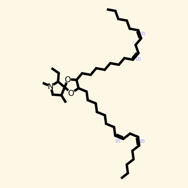 CCCCC/C=C\C/C=C\CCCCCCCC1OC2(OC1CCCCCCC/C=C\C/C=C\CCCCC)C(C)CN(C)C2CC